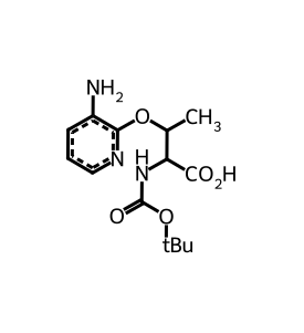 CC(Oc1ncccc1N)C(NC(=O)OC(C)(C)C)C(=O)O